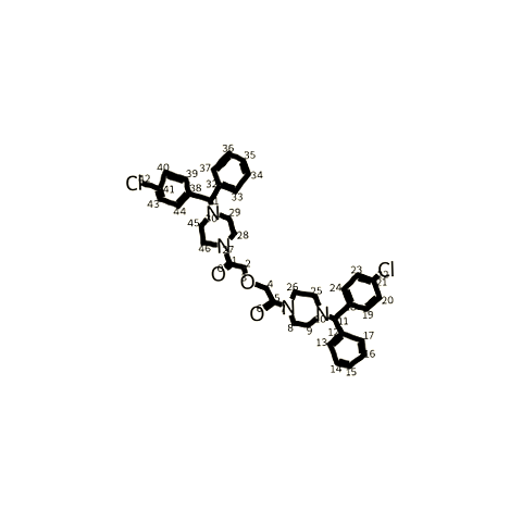 O=C(COCC(=O)N1CCN(C(c2ccccc2)c2ccc(Cl)cc2)CC1)N1CCN(C(c2ccccc2)c2ccc(Cl)cc2)CC1